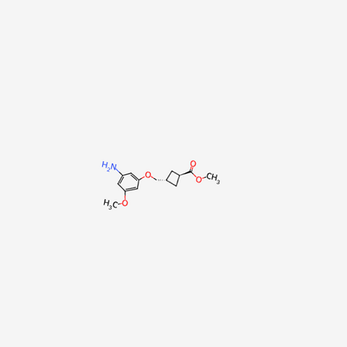 COc1cc(N)cc(OC[C@H]2C[C@H](C(=O)OC)C2)c1